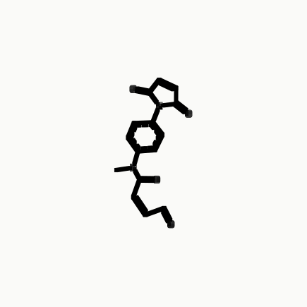 CN(C(=O)/C=C\C=O)c1ccc(N2C(=O)C=CC2=O)cc1